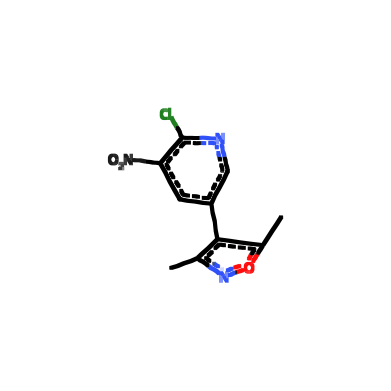 Cc1noc(C)c1-c1cnc(Cl)c([N+](=O)[O-])c1